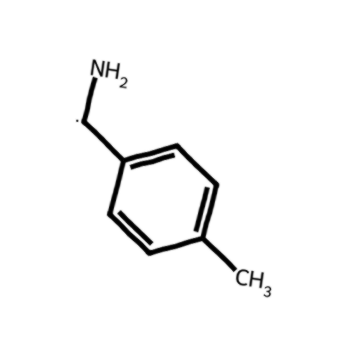 Cc1ccc([CH]N)cc1